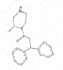 O=C(CC(c1ccccc1)c1ccccc1)N1CCNCC1I